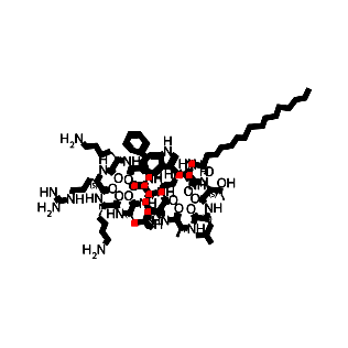 CCCCCCCCCCCCCCCC(=O)N[C@@H](Cc1c[nH]c2ccccc12)C(=O)N[C@H](C(=O)N[C@@H](CC(C)C)C(=O)N[C@@H](C)C(=O)N[C@@H](CC(C)C)C(=O)N[C@@H](CC(=O)O)C(=O)NC(Cc1ccccc1)C(=O)N[C@@H](CCCCN)C(=O)N[C@@H](CCCNC(=N)N)C(=O)N[C@@H](CCCCN)C(=O)N[C@@H](C)C(=O)N[C@@H](CCCNC(=N)N)C(N)=O)[C@@H](C)O